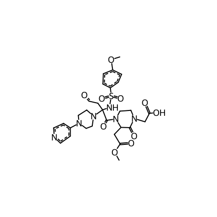 COC(=O)CC1C(=O)N(CC(=O)O)CCN1C(=O)C(CC=O)(NS(=O)(=O)c1ccc(OC)cc1)N1CCN(c2ccncc2)CC1